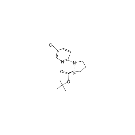 CC(C)(C)OC(=O)[C@@H]1CCCN1c1ccc(Cl)cn1